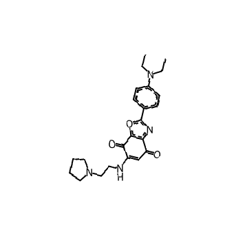 CCN(CC)c1ccc(-c2nc3c(o2)C(=O)C(NCCN2CCCC2)=CC3=O)cc1